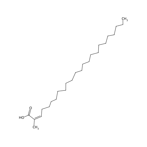 CCCCCCCCCCCCCCCCCCCCCC=C(C)C(=O)O